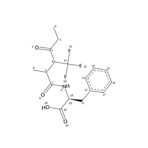 CCC(=O)C(C(C)C(=O)N[C@@H](Cc1ccccc1)C(=O)O)C(F)(F)F